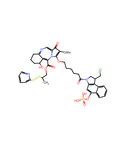 COc1c(OCCCCCC(=O)N2CC(CCl)c3c2cc(OP(=O)(O)O)c2ccccc32)n2c(C(=O)OCC(C)SSc3ccccn3)c3c(ncc-2c1=O)CCCC3O